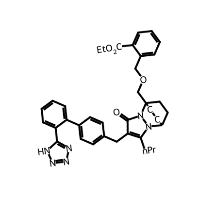 CCCc1c(Cc2ccc(-c3ccccc3-c3nnn[nH]3)cc2)c(=O)n2n1C1CCC2(COCc2ccccc2C(=O)OCC)CC1